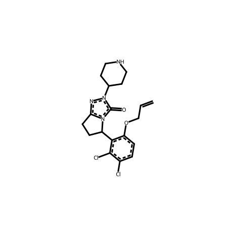 C=CCOc1ccc(Cl)c(Cl)c1C1CCc2nn(C3CCNCC3)c(=O)n21